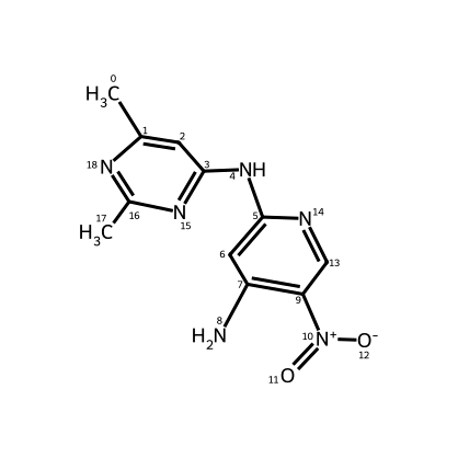 Cc1cc(Nc2cc(N)c([N+](=O)[O-])cn2)nc(C)n1